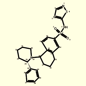 O=S(=O)(Nc1ncns1)c1ccc2c(c1)CCCC2N1CCCC[C@H]1c1ccccc1